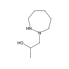 CC(O)CN1CCCCCN1